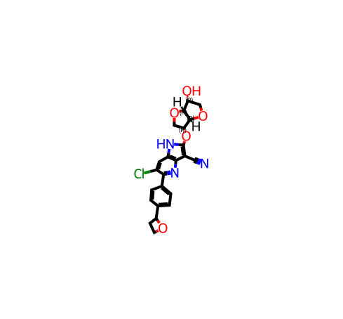 N#Cc1c(O[C@@H]2CO[C@H]3[C@@H]2OC[C@H]3O)[nH]c2cc(Cl)c(-c3ccc(C4CCO4)cc3)nc12